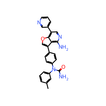 Cc1cccc(N(C(N)=O)c2ccc(-c3coc4c(-c5cccnc5)cnc(N)c34)cc2)c1